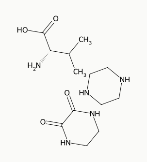 C1CNCCN1.CC(C)[C@H](N)C(=O)O.O=C1NCCNC1=O